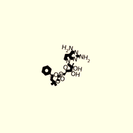 CC1(C)C[C@@H](c2ccccc2)O[P@@](=O)(OC[C@H]2O[C@@H](n3ccc4c(N)nc(N)nc43)[C@](C)(O)[C@@H]2O)O1